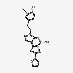 Nc1nc2c(cnn2CCc2ccc(O)c(I)c2)c2nc(-c3ccco3)nn12